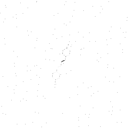 CCCCCCCC1CCC(/C=C/COC2CCC(CCC)CC2)CC1